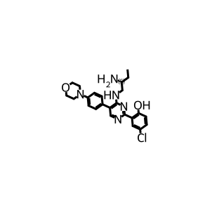 CC[C@H](N)CNc1nc(-c2cc(Cl)ccc2O)ncc1-c1ccc(N2CCOCC2)cc1